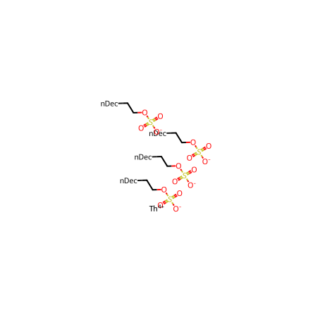 CCCCCCCCCCCCOS(=O)(=O)[O-].CCCCCCCCCCCCOS(=O)(=O)[O-].CCCCCCCCCCCCOS(=O)(=O)[O-].CCCCCCCCCCCCOS(=O)(=O)[O-].[Th+4]